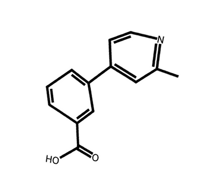 Cc1cc(-c2cccc(C(=O)O)c2)ccn1